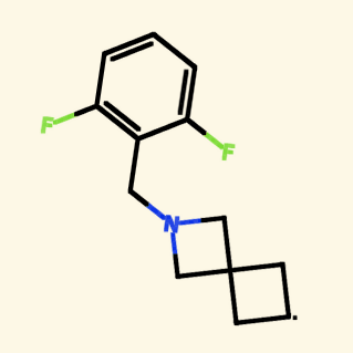 Fc1cccc(F)c1CN1CC2(C[CH]C2)C1